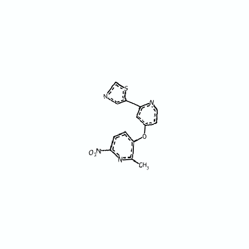 Cc1nc([N+](=O)[O-])ccc1Oc1ccnc(-c2cncs2)c1